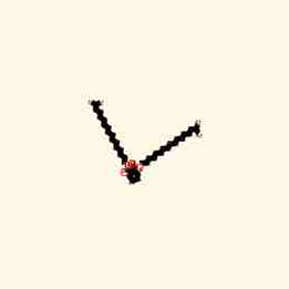 CC(C)CCCCCCCCCCCCCCCOC(=O)C1(C(=O)OCCCCCCCCCCCCCCCC(C)C)CCCC1